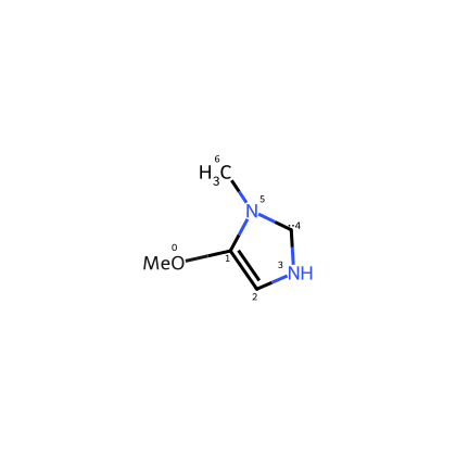 COC1=CN[C]N1C